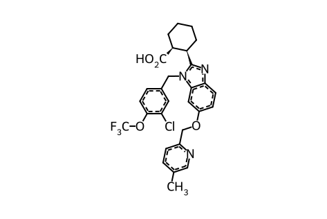 Cc1ccc(COc2ccc3nc([C@@H]4CCCC[C@@H]4C(=O)O)n(Cc4ccc(OC(F)(F)F)c(Cl)c4)c3c2)nc1